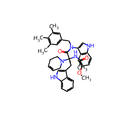 COc1ccc2[nH]cc(N(Cc3cc(C)c(C)c(C)c3)C(=O)C(Cc3c[nH]c4ccccc34)(NC(C)=O)N3CC=CCC3)c2c1